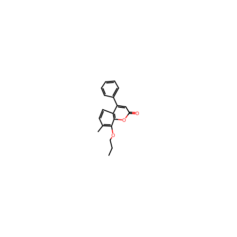 CCCOc1c(C)ccc2c(-c3ccccc3)cc(=O)oc12